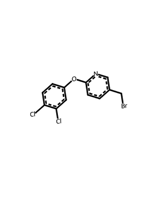 Clc1ccc(Oc2ccc(CBr)cn2)cc1Cl